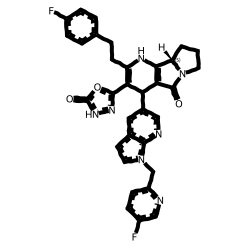 O=C1C2=C(NC(CCc3ccc(F)cc3)=C(c3n[nH]c(=O)o3)C2c2cnc3c(ccn3Cc3ccc(F)cn3)c2)[C@@H]2CCCN12